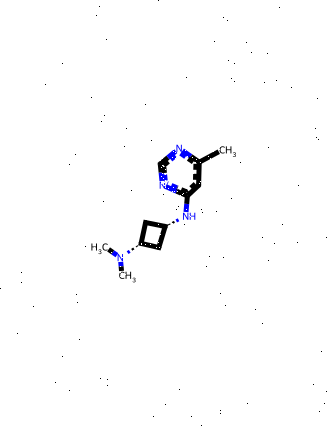 Cc1cc(N[C@H]2C[C@@H](N(C)C)C2)ncn1